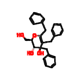 OC[C@H]1OC(Cc2ccccc2)=C(Cc2ccccc2)[C@](O)(Cc2ccccc2)[C@@H]1O